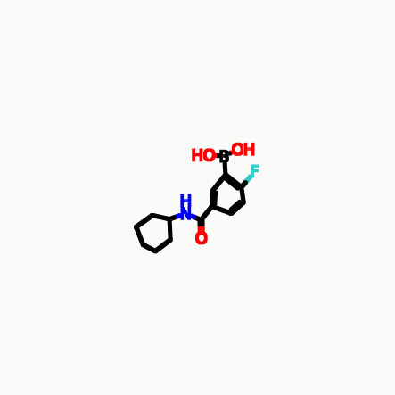 O=C(NC1CCCCC1)c1ccc(F)c(B(O)O)c1